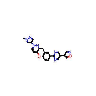 Cn1cc(-n2ccc(=O)c(Cc3cccc(-c4ncc(-c5cnoc5)cn4)c3)n2)cn1